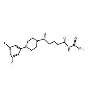 NC(=O)NC(=O)CCCC(=O)N1CCN(c2cc(F)cc(F)c2)CC1